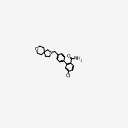 NC(=O)c1ccc(Cl)cc1-c1ccc(CN2CCC3(CCOCC3)C2)cc1